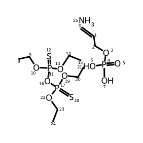 C=CCOP(=O)(O)O.CCOP(=S)(OCC)OP(=S)(OCC)OCC.N